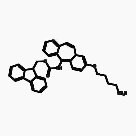 O=C(O)CCCCOC1=CC2C=Cc3ccccc3C(NC(=O)OCC3c4ccccc4-c4ccccc43)=C2C=C1